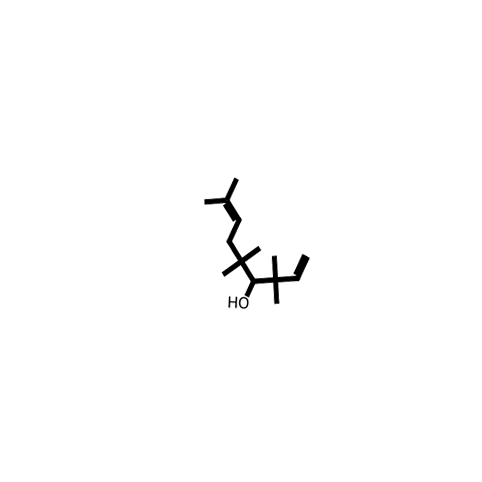 C=CC(C)(C)C(O)C(C)(C)CC=C(C)C